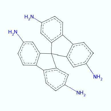 Nc1ccc2c(c1)C1(c3cc(N)ccc3-2)c2cc(N)ccc2-c2ccc(N)cc21